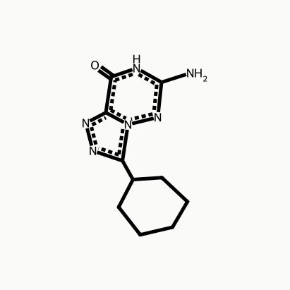 Nc1nn2c(C3CCCCC3)nnc2c(=O)[nH]1